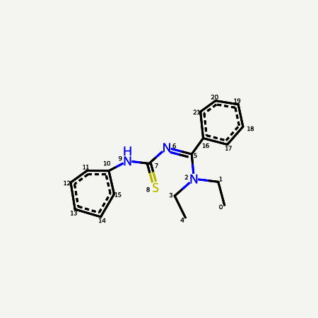 CCN(CC)/C(=N\C(=S)Nc1ccccc1)c1ccccc1